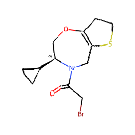 O=C(CBr)N1CC2=C(CCS2)OC[C@@H]1C1CC1